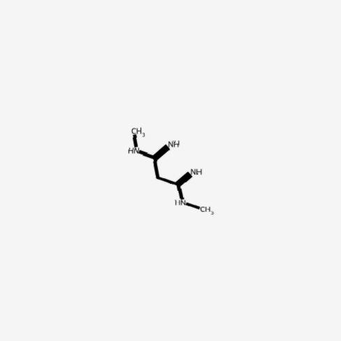 CNC(=N)CC(=N)NC